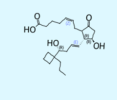 CCCC1([C@H](O)C/C=C/[C@@H]2C(C/C=C\CCCC(=O)O)C(=O)C[C@H]2O)CCC1